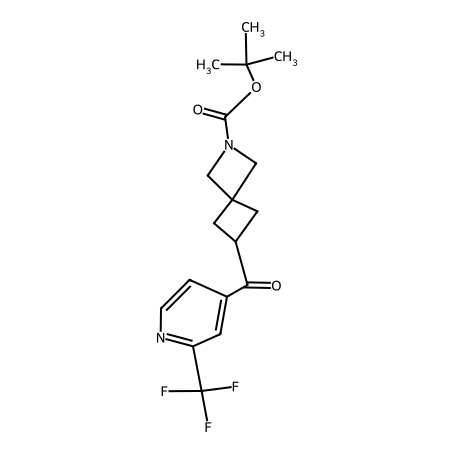 CC(C)(C)OC(=O)N1CC2(CC(C(=O)c3ccnc(C(F)(F)F)c3)C2)C1